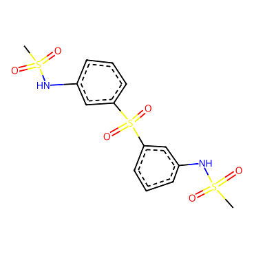 CS(=O)(=O)Nc1cccc(S(=O)(=O)c2cccc(NS(C)(=O)=O)c2)c1